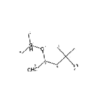 CC(C)C(C)(C)CC(C=O)O[SiH](C)C